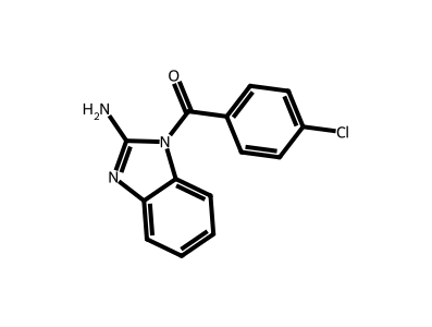 Nc1nc2ccccc2n1C(=O)c1ccc(Cl)cc1